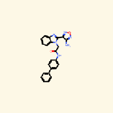 Nc1nonc1-c1nc2ccccc2n1CC(=O)Nc1ccc(-c2ccccc2)cc1